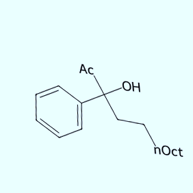 CCCCCCCCCCC(O)(C(C)=O)c1ccccc1